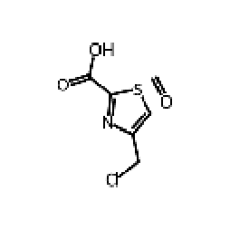 C=O.O=C(O)c1nc(CCl)cs1